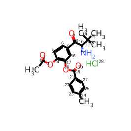 CC(=O)Oc1ccc(C(=O)C(N)C(C)(C)C)cc1OC(=O)c1ccc(C)cc1.Cl